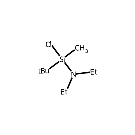 CCN(CC)[Si](C)(Cl)C(C)(C)C